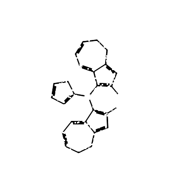 CC1=[C]([Zr+2]([C]2=CC=CC2)[C]2=C(C)C=C3CCC=CC=C32)C2=CC=CCCC2=C1.[Cl-].[Cl-]